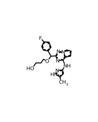 Cc1cc(Nc2nc(C(OCCCO)c3ccc(F)cc3)nn3cccc23)n[nH]1